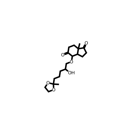 CC1(CCCC(O)COC2C(=O)CCC3(C)C(=O)CCC23)OCCO1